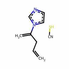 C=CCC(=C)n1ccnc1.N#CS